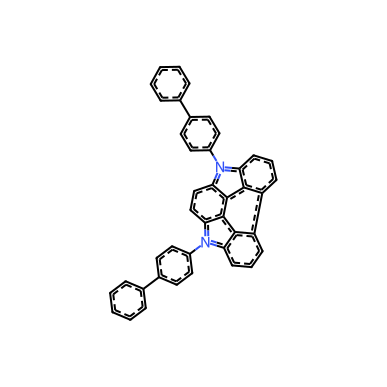 c1ccc(-c2ccc(-n3c4cccc5c6cccc7c6c6c(c54)c3ccc6n7-c3ccc(-c4ccccc4)cc3)cc2)cc1